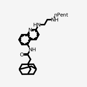 CCCCCNCCNc1ccc2c(NC(=O)CC34CC5CC(CC(C5)C3)C4)cccc2n1